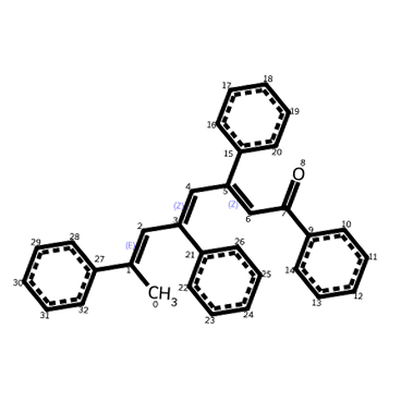 C\C(=C/C(=C/C(=C/C(=O)c1ccccc1)c1ccccc1)c1ccccc1)c1ccccc1